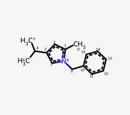 Cc1cc(C(C)C)cn1Cc1ccccc1